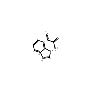 O=CC(=O)O.c1ccc2scnc2c1